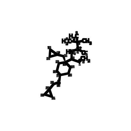 C=CC(N[S+]([O-])C(C)(C)C)[C@]1(CC2CC2)CC[C@H](SCC2CC2)CC1